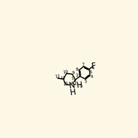 [2H]C1(c2ccc(F)cc2)CCC(C)CN1